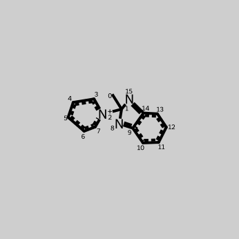 CC1([n+]2ccccc2)N=c2ccccc2=N1